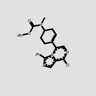 CC(C)c1ncc2c(Cl)ncc(C3=CCC(N(C)C(=O)OC(C)(C)C)CC3)n12